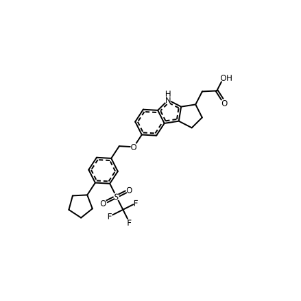 O=C(O)CC1CCc2c1[nH]c1ccc(OCc3ccc(C4CCCC4)c(S(=O)(=O)C(F)(F)F)c3)cc21